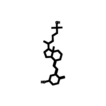 C=C1CCC(O)C/C1=C\C=C1/CCCC2(C)C1CCC2C(C)CCCC(C)(C)O